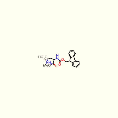 COC(=O)C(C[C@H](N)C(=O)O)NC(=O)OCC1c2ccccc2-c2ccccc21